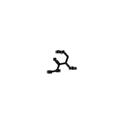 CCCCCCCCC(CCCCCC)C(=O)NO